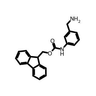 NCc1cccc(NC(=O)OCC2c3ccccc3-c3ccccc32)c1